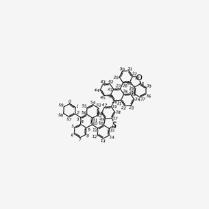 C1=CC(c2c3ccccc3c(-c3cccc4sc5cc(-c6c7ccccc7c(-c7cccc8oc9ccccc9c78)c7ccccc67)ccc5c34)c3ccccc23)=CCC1